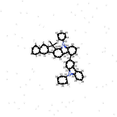 CC1(C)c2cc3ccccc3cc2-c2ccc3c4c(-c5ccc6c(c5)c5ccccc5n6-c5ccccc5)cccc4n(-c4ccccc4)c3c21